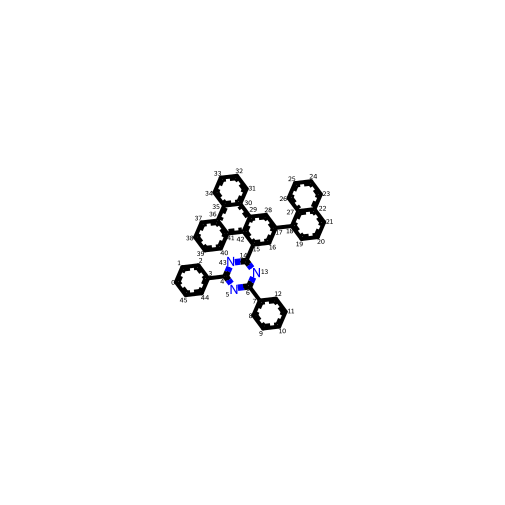 c1ccc(-c2nc(-c3ccccc3)nc(-c3cc(-c4cccc5ccccc45)cc4c5ccccc5c5ccccc5c34)n2)cc1